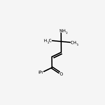 CC(C)C(=O)/C=C/C(C)(C)N